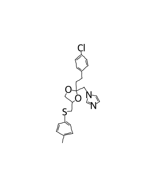 Cc1ccc(SCC2COC(CCc3ccc(Cl)cc3)(Cn3ccnc3)O2)cc1